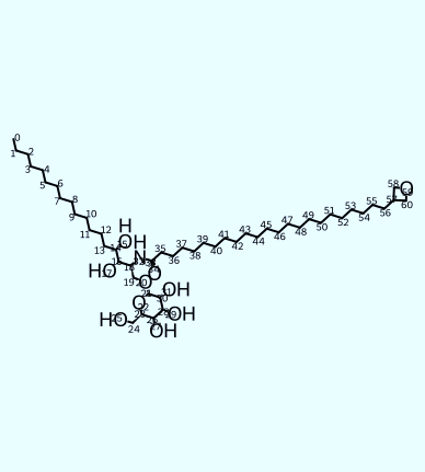 CCCCCCCCCCCCCC[C@@H](O)[C@@H](O)[C@H](CO[C@H]1O[C@H](CO)[C@H](O)[C@H](O)[C@H]1O)NC(=O)CCCCCCCCCCCCCCCCCCCCCCC1COC1